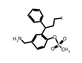 CS(=O)(=O)Oc1ccc(CN)cc1C(CCI)c1ccccc1